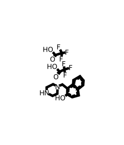 O=C(O)C(F)(F)F.O=C(O)C(F)(F)F.Oc1ccc2ccccc2c1CN1CCNCC1